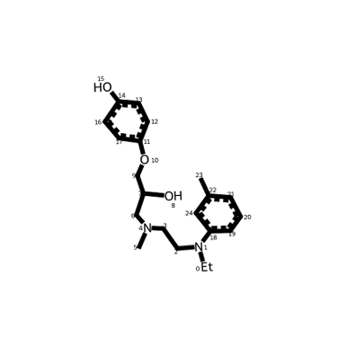 CCN(CCN(C)CC(O)COc1ccc(O)cc1)c1cccc(C)c1